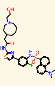 CN(C)c1cccc2c(S(=O)(=O)Nc3cc(-c4csc(NC(=O)CC5CCCCN(CCO)CC5)n4)ccc3F)cccc12